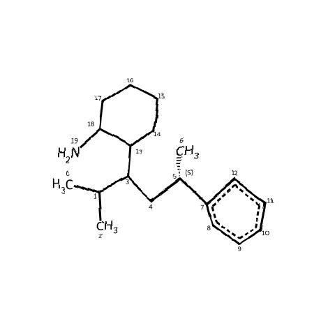 CC(C)C(C[C@H](C)c1ccccc1)C1CCCCC1N